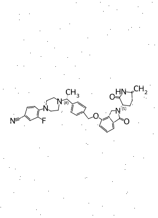 C=C1CC[C@H](N2Cc3c(OCc4ccc([C@@H](C)N5CCN(c6ccc(C#N)cc6F)CC5)cc4)cccc3C2=O)C(=O)N1